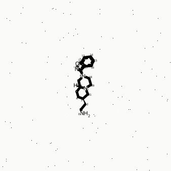 NCC[C@H]1CC[C@@H]2CN(c3noc4ccccc34)CCN2C1